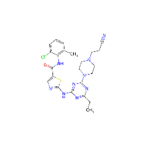 CCc1nc(Nc2ncc(C(=O)Nc3c(C)cccc3Cl)s2)nc(N2CCN(CCC#N)CC2)n1